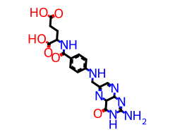 NC1=NC2N=CC(CNc3ccc(C(=O)NC(CCC(=O)O)C(=O)O)cc3)=NC2C(=O)N1